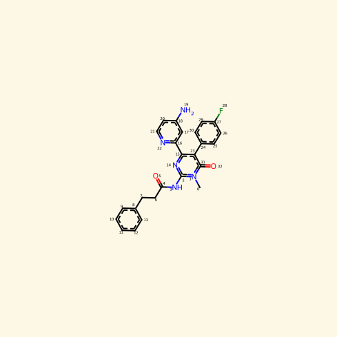 Cn1c(NC(=O)CCc2ccccc2)nc(-c2cc(N)ccn2)c(-c2ccc(F)cc2)c1=O